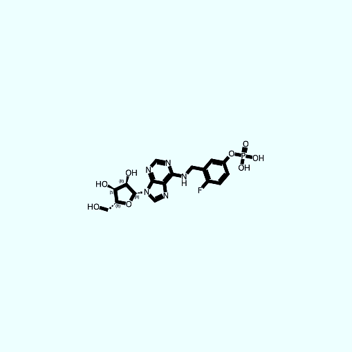 O=P(O)(O)Oc1ccc(F)c(CNc2ncnc3c2ncn3[C@@H]2O[C@H](CO)[C@@H](O)[C@H]2O)c1